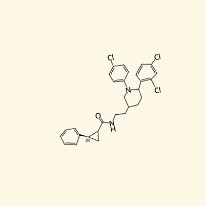 O=C(NCCC1CCC(c2ccc(Cl)cc2Cl)N(c2ccc(Cl)cc2)C1)C1C[C@H]1c1ccccc1